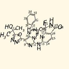 CC(C)(O)c1nnc(-c2cnc(Nc3ccc4c(n3)C(C)(F)NC4=O)nc2N[C@H](CF)c2ccccc2)o1